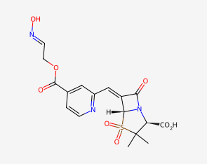 CC1(C)[C@H](C(=O)O)N2C(=O)/C(=C/c3cc(C(=O)OC/C=N/O)ccn3)[C@H]2S1(=O)=O